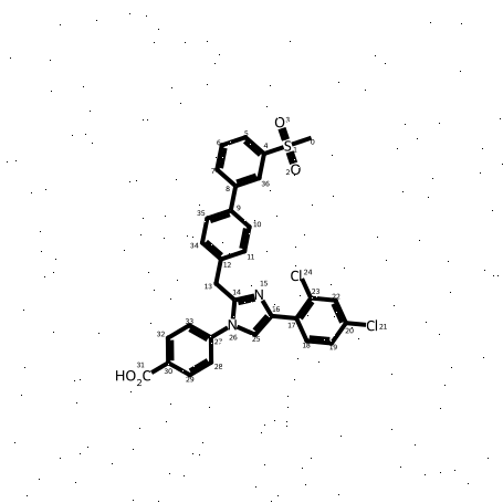 CS(=O)(=O)c1cccc(-c2ccc(Cc3nc(-c4ccc(Cl)cc4Cl)cn3-c3ccc(C(=O)O)cc3)cc2)c1